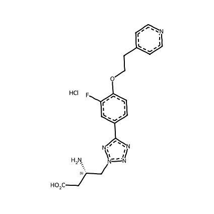 Cl.N[C@@H](CC(=O)O)Cn1nnc(-c2ccc(OCCc3ccncc3)c(F)c2)n1